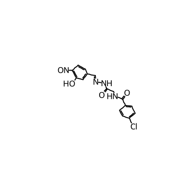 O=Nc1ccc(/C=N/NC(=O)CNC(=O)c2ccc(Cl)cc2)cc1O